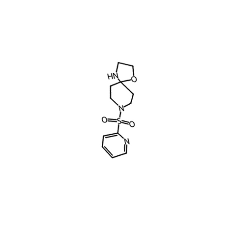 O=S(=O)(c1ccccn1)N1CCC2(CC1)NCCO2